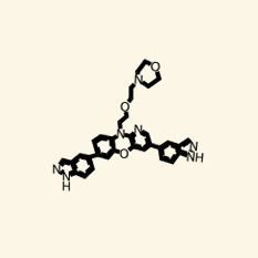 c1cc2c(cc1-c1ccc3[nH]ncc3c1)Oc1cc(-c3ccc4[nH]ncc4c3)cnc1N2CCOCCN1CCOCC1